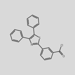 O=C(Cl)c1cccc(-c2nc(-c3ccccc3)c(-c3ccccc3)s2)c1